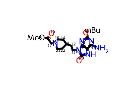 CCCCOc1nc(N)c2[nH]c(=O)n(CCC3CCN(CC(=O)OC)CC3)c2n1